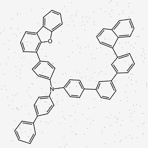 c1ccc(-c2ccc(N(c3ccc(-c4cccc(-c5cccc(-c6cccc7ccccc67)c5)c4)cc3)c3ccc(-c4cccc5c4oc4ccccc45)cc3)cc2)cc1